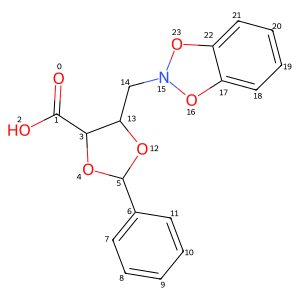 O=C(O)C1OC(c2ccccc2)OC1CN1Oc2ccccc2O1